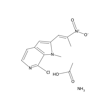 C/C(=C\c1cc2ccnc(Cl)c2n1C)[N+](=O)[O-].CC(=O)O.N